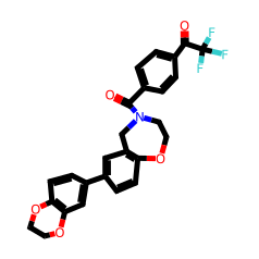 O=C(c1ccc(C(=O)C(F)(F)F)cc1)N1CCOc2ccc(-c3ccc4c(c3)OCCO4)cc2C1